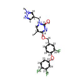 Cc1cn(Cc2cnn(C)c2)c(=O)nc1OCc1ccc(Oc2ccc(F)c(F)c2)c(F)c1